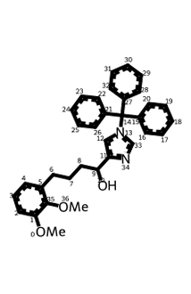 COc1cccc(CCCC(O)c2cn(C(c3ccccc3)(c3ccccc3)c3ccccc3)cn2)c1OC